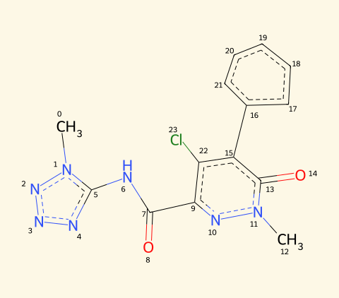 Cn1nnnc1NC(=O)c1nn(C)c(=O)c(-c2ccccc2)c1Cl